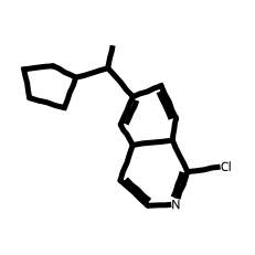 CC(C1=CC2C=CN=C(Cl)C2C=C1)C1CCCC1